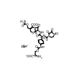 CCN1CCN(C(=O)N[C@H](C(=O)N[C@@H]2C(=O)N3C(C(=O)[O-])=C(COC(N)=O)CS[C@@H]23)c2ccc(NC(=O)OC[C@@H](N)C(=O)[O-])cc2)C(=O)C1=O.[Na+].[Na+]